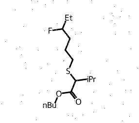 CCCCOC(=O)C(SCCCC(F)CC)C(C)C